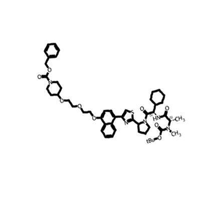 C[C@@H](C(=O)N[C@H](C(=O)N1CCCC1c1nc(-c2ccc(OCCOCCOC3CCN(C(=O)OCc4ccccc4)CC3)c3ccccc23)cs1)C1CCCCC1)N(C)C(=O)OC(C)(C)C